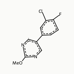 COc1n[c]c(-c2ccc(F)c(Cl)c2)cn1